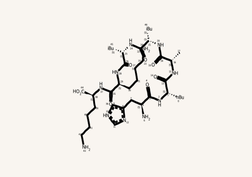 CCCC[C@H](NC(=O)[C@@H](N)Cc1c[nH]cn1)C(=O)N[C@@H](C)C(=O)N[C@H](C(=O)N[C@H](C(=O)N[C@@H](CCCCN)C(=O)N[C@@H](CCCCN)C(=O)O)[C@@H](C)CC)[C@@H](C)CC